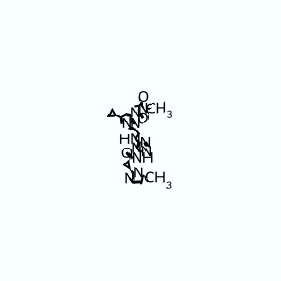 Cc1ccnc([C@H]2C[C@@H]2C(=O)Nc2ncnc(NCc3cn4cc(C5CC5)cc(N5CC(=O)N(C)C5=O)c4n3)n2)n1